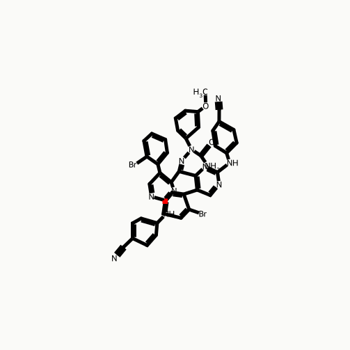 COc1cccc(N(N=C(c2nc(Nc3ccc(C#N)cc3)ncc2-c2ccccc2Br)c2nc(Nc3ccc(C#N)cc3)ncc2-c2ccccc2Br)C(N)=O)c1